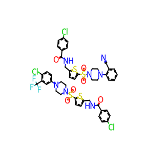 N#Cc1ccccc1N1CCN(S(=O)(=O)c2ccc(CNC(=O)c3ccc(Cl)cc3)s2)CC1.O=C(NCc1ccc(S(=O)(=O)N2CCN(c3ccc(Cl)c(C(F)(F)F)c3)CC2)s1)c1ccc(Cl)cc1